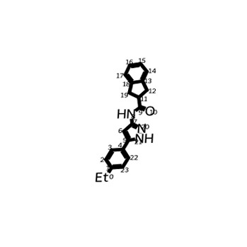 CCc1ccc(-c2cc(NC(=O)C3Cc4ccccc4C3)n[nH]2)cc1